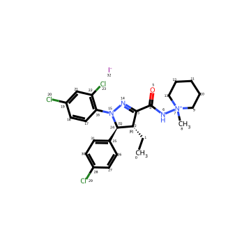 CC[C@H]1C(C(=O)N[N+]2(C)CCCCC2)=NN(c2ccc(Cl)cc2Cl)[C@@H]1c1ccc(Cl)cc1.[I-]